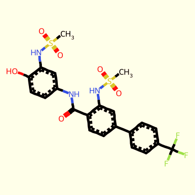 CS(=O)(=O)Nc1cc(NC(=O)c2ccc(-c3ccc(C(F)(F)F)cc3)cc2NS(C)(=O)=O)ccc1O